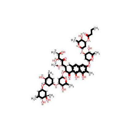 CCCC(=O)O[C@@H]1C[C@H](O[C@@H]2C[C@H](Oc3cc4cc5c(c(O)c4c(O)c3C)C(=O)[C@@H](O[C@H]3C[C@@H](O[C@@H]4CC(C)[C@H](O)[C@H](O[C@@H]6CC(C)[C@@H](O)[C@@](C)(O)C6)C4)[C@H](O)C(C)O3)[C@H]([C@H](OC)C(=O)[C@@H](O)[C@@H](C)O)C5)OC(C)[C@H]2O)OC(C)[C@H]1O